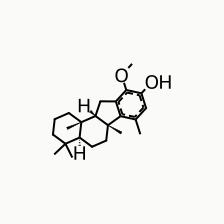 COc1c(O)cc(C)c2c1C[C@H]1[C@@]3(C)CCCC(C)(C)[C@@H]3CC[C@@]21C